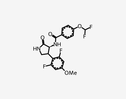 COc1cc(F)c(C2CNC(=O)[C@H]2NC(=O)c2ccc(OC(F)F)cc2)c(F)c1